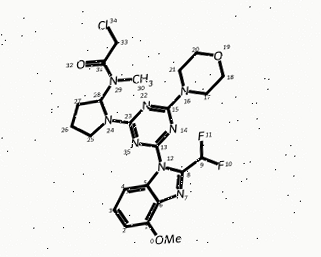 COc1cccc2c1nc(C(F)F)n2-c1nc(N2CCOCC2)nc(N2CCCC2N(C)C(=O)CCl)n1